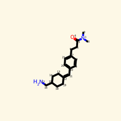 CN(C)C(=O)CCc1ccc(C=C2CCC(CN)CC2)cc1